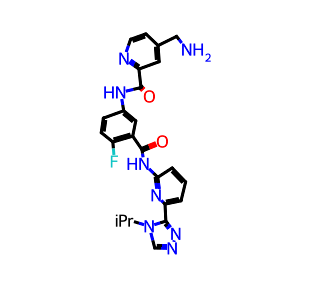 CC(C)n1cnnc1-c1cccc(NC(=O)c2cc(NC(=O)c3cc(CN)ccn3)ccc2F)n1